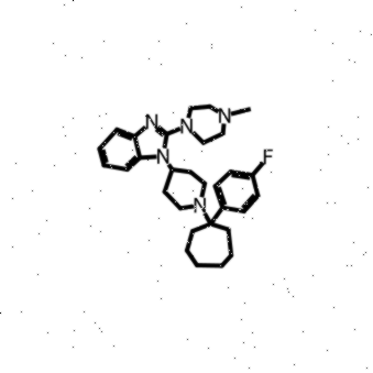 CN1CCN(c2nc3ccccc3n2C2CCN(C3(c4ccc(F)cc4)CCCCCC3)CC2)CC1